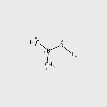 CB(C)OI